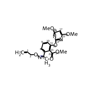 C=CCO/N=C(/C)c1cccc(Oc2nc(OC)cc(OC)n2)c1C(=O)OC